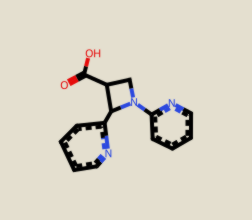 O=C(O)C1CN(c2ccccn2)C1c1ccccn1